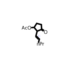 CCC/C=C/C1C(=O)CCC1OC(C)=O